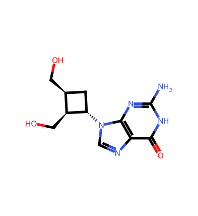 Nc1nc2c(ncn2[C@H]2C[C@H](CO)[C@@H]2CO)c(=O)[nH]1